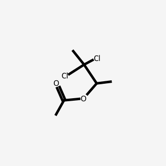 CC(=O)OC(C)C(C)(Cl)Cl